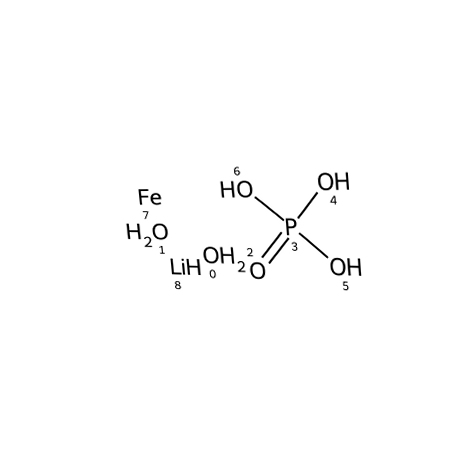 O.O.O=P(O)(O)O.[Fe].[LiH]